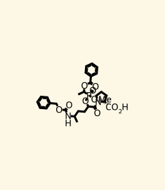 COP(=O)(OC(CCC(C)NC(=O)OCc1ccccc1)C(=O)N1CCC[C@H]1C(=O)O)C(C)OC(=O)c1ccccc1